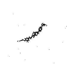 CCCC1CCC(CCc2ncc(-c3ccc(OCC)cc3)cn2)CC1